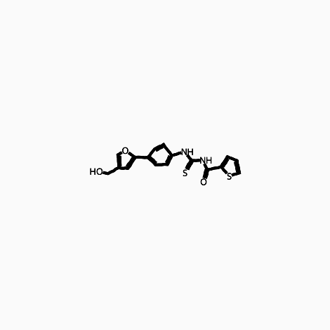 O=C(NC(=S)Nc1ccc(-c2cc(CO)co2)cc1)c1cccs1